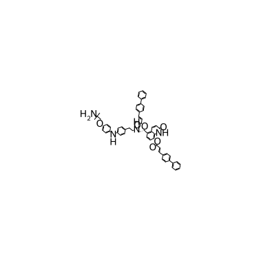 CC(C)(N)COc1ccc(Nc2ccc(CCNC[C@H](OC(=O)C=Cc3ccc(-c4ccccc4)cc3)c3ccc(OC(=O)C=Cc4ccc(-c5ccccc5)cc4)c4[nH]c(=O)ccc34)cc2)cc1